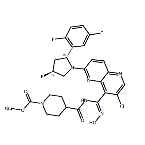 CC(C)(C)OC(=O)N1CCC(C(=O)N/C(=N\O)c2c(Cl)cnc3ccc(N4C[C@@H](F)C[C@@H]4c4cc(F)ccc4F)nc23)CC1